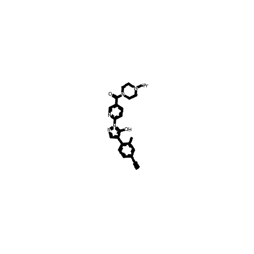 C#Cc1ccc(-c2cnn(-c3ccc(C(=O)N4CCN(C(C)C)CC4)cn3)c2O)c(C)c1